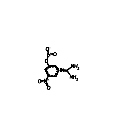 N=C(N)N.O=[N+]([O-])Oc1cccc([N+](=O)[O-])c1